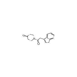 O=C1CCN(C(=O)CC2=CCc3ccccc32)CC1